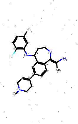 C/C(N)=C1/NCCC(Nc2cc(C)ccc2F)c2cc(C3=CCN(C(C)C)CC3)ccc21